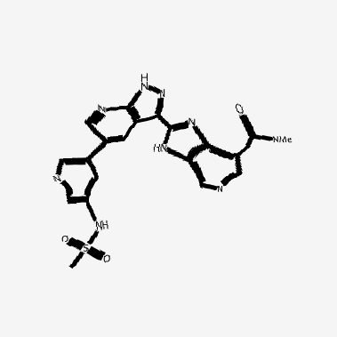 CNC(=O)c1cncc2[nH]c(-c3n[nH]c4ncc(-c5cncc(NS(C)(=O)=O)c5)cc34)nc12